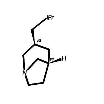 CC(C)C[C@H]1C[C@@H]2CCN(C2)C1